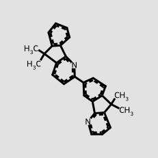 CC1(C)c2ccc(-c3ccc4c(n3)-c3ccccc3C4(C)C)cc2-c2ncccc21